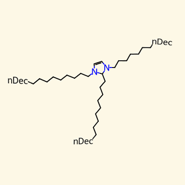 CCCCCCCCCCCCCCCCCCCC1N(CCCCCCCCCCCCCCCCC)C=CN1CCCCCCCCCCCCCCCCCCC